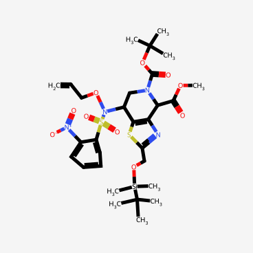 C=CCON(C1CN(C(=O)OC(C)(C)C)C(C(=O)OC)c2nc(CO[Si](C)(C)C(C)(C)C)sc21)S(=O)(=O)c1ccccc1[N+](=O)[O-]